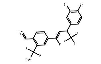 C=Cc1ccc(/C(F)=C/C(c2ccc(Br)c(Br)c2)C(F)(F)F)cc1C(C)(F)F